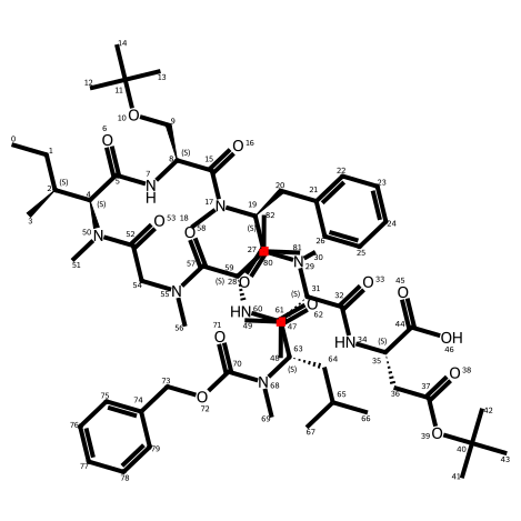 CC[C@H](C)[C@@H](C(=O)N[C@@H](COC(C)(C)C)C(=O)N(C)[C@@H](Cc1ccccc1)C(=O)N(C)[C@H](C(=O)N[C@@H](CC(=O)OC(C)(C)C)C(=O)O)C(C)C)N(C)C(=O)CN(C)C(=O)[C@@H](NC(=O)[C@H](CC(C)C)N(C)C(=O)OCc1ccccc1)C(C)C